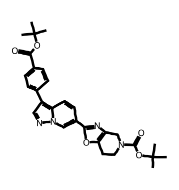 CC(C)(C)OC(=O)c1ccc(-c2cnn3cc(-c4nc5c(o4)CCN(C(=O)OC(C)(C)C)C5)ccc23)cc1